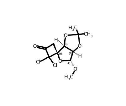 CO[C@@H]1O[C@@]2(CC(=O)C2(Cl)Cl)[C@H]2OC(C)(C)O[C@@H]12